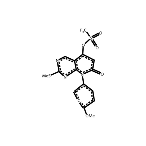 COc1ccc(-n2c(=O)cc(OS(=O)(=O)C(F)(F)F)c3cnc(SC)nc32)cc1